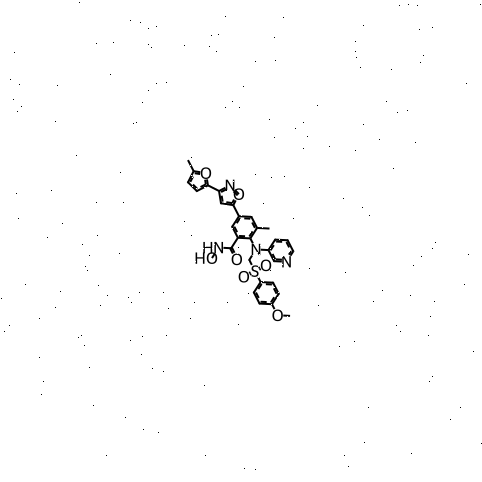 COc1ccc(S(=O)(=O)CN(c2cccnc2)c2c(C)cc(-c3cc(-c4ccc(C)o4)no3)cc2C(=O)NO)cc1